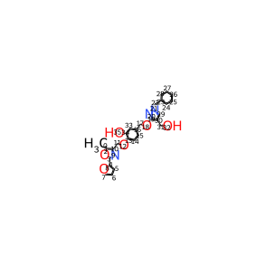 Cc1oc(-c2ccco2)nc1COc1ccc(COc2nn(Cc3ccccc3)cc2CO)cc1O